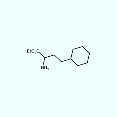 CCOC(=O)C(N)CCC1CCCCC1